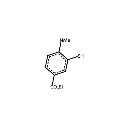 CCOC(=O)c1ccc(NC)c(S)c1